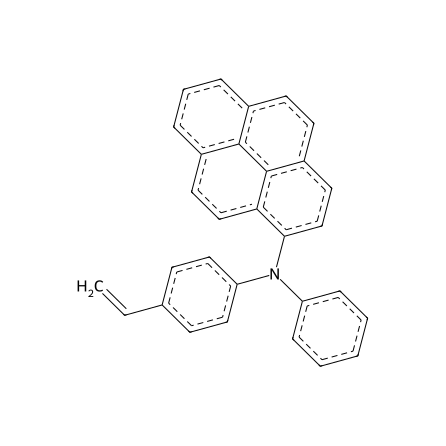 C=Cc1ccc(N(c2ccccc2)c2ccc3ccc4cccc5ccc2c3c45)cc1